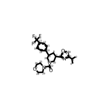 CC(C)c1noc(C2CC(c3ccc(C(F)(F)F)cc3)CN(C(=O)N3CCOCC3)C2)n1